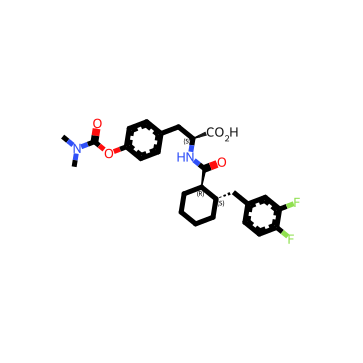 CN(C)C(=O)Oc1ccc(C[C@H](NC(=O)[C@@H]2CCCC[C@H]2Cc2ccc(F)c(F)c2)C(=O)O)cc1